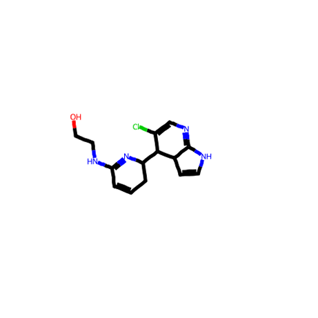 OCCNC1=NC(C2C(Cl)=CN=C3NC=CC32)CC=C1